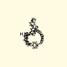 CC(C)N1CCN(c2cc3c4ncnc3n(c2=O)CCCOCCCCN2CCC(CC2)CC(F)(F)c2cccc(c2)[C@@H](C)N4)CC1